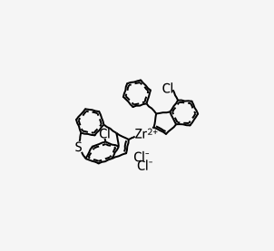 Clc1cccc2c1C(c1ccccc1)[C]([Zr+2][C]1=Cc3cc4cc(Cl)c3C1c1cccc(c1)S4)=C2.[Cl-].[Cl-]